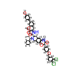 CC[C@@H](c1ccccc1)N1Cc2cc3c(cc2C[C@H]1C(=O)NC(Cc1ccc(-c2ccc(OC)cc2)cc1)C(=O)OC)N(C)C(=O)[C@H](c1ccc(OCc2ccc(Cl)c(Cl)c2)cc1)O3